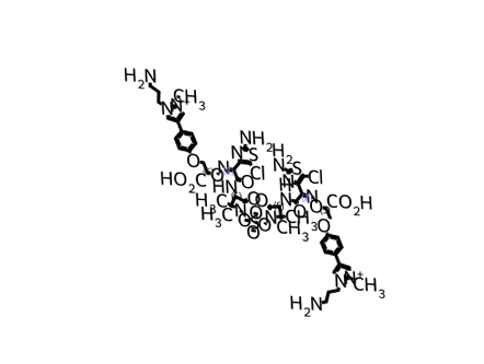 C[n+]1cc(-c2ccc(OC[C@H](O/N=C(\C(=O)N[C@@H]3C(=O)N(OS(=O)(=O)ON4C(=O)[C@@H](NC(=O)/C(=N\O[C@@H](COc5ccc(-c6cn(CCCN)[n+](C)c6)cc5)C(=O)O)c5nc(N)sc5Cl)C4(C)C)C3(C)C)c3nc(N)sc3Cl)C(=O)O)cc2)cn1CCCN